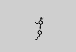 CCCCc1ccc(C#Cc2ccc(Br)cc2CC)cc1